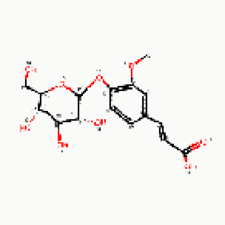 COc1cc(C=CC(=O)O)ccc1OC1O[C@H](CO)[C@@H](O)[C@H](O)[C@H]1O